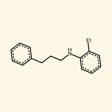 CCc1ccccc1NCCCc1ccccc1